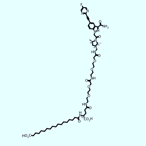 C[C@@H]1C[C@H](CNC(=O)COCCOCCNC(=O)COCCOCCNC(=O)CC[C@H](NC(=O)CCCCCCCCCCCCCCCCC(=O)O)C(=O)O)[C@@H](C)N1C(=O)Cn1nc(C(N)=O)c2cc(C#Cc3ncc(F)cn3)ccc21